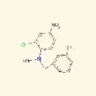 CCCN(Cc1cccc(C(F)(F)F)c1)c1ccc([N+](=O)[O-])cc1Cl